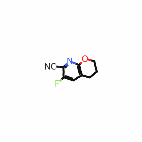 N#Cc1nc2c(cc1F)CCCO2